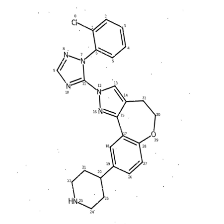 Clc1ccccc1-n1ncnc1-n1cc2c(n1)-c1cc(C3CCNCC3)ccc1OCC2